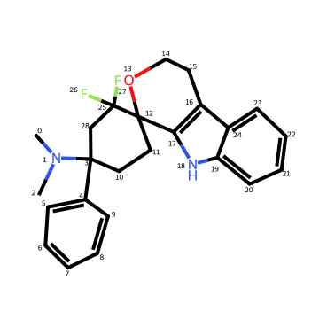 CN(C)C1(c2ccccc2)CCC2(OCCc3c2[nH]c2ccccc32)C(F)(F)C1